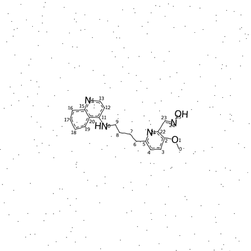 COc1ccc(CCCCNc2ccnc3ccccc23)nc1/C=N/O